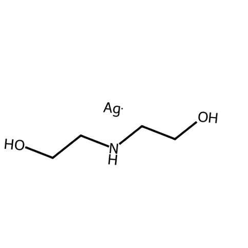 OCCNCCO.[Ag]